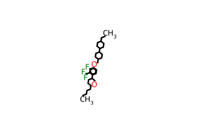 CCCCCC1CCC(c2ccc(OCC3CCC(C4CCC(CCC)CC4)CC3)c(F)c2C(F)F)CO1